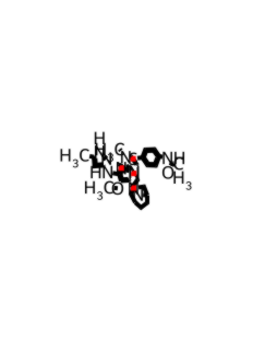 COc1c(Nc2cc(C)[nH]n2)nc(Sc2ccc(NC(C)=O)cc2)nc1N1CC2CCC(C1)N2CCN1CCN(C)CC1